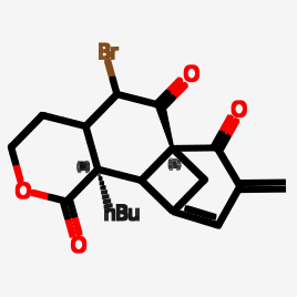 C=C1C=C2C[C@]3(C1=O)C(=O)C(Br)C1CCOC(=O)[C@]1(CCCC)C23